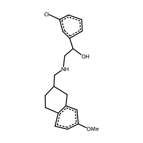 COc1ccc2c(c1)CC(CNCC(O)c1cccc(Cl)c1)CC2